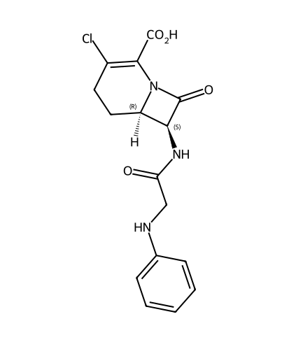 O=C(CNc1ccccc1)N[C@@H]1C(=O)N2C(C(=O)O)=C(Cl)CC[C@H]12